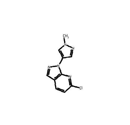 Cn1cc(-n2ncc3ccc(Cl)nc32)cn1